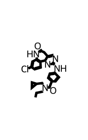 CCCN(CC1CC1)C(=O)c1ccc(Nc2ncc3c(n2)-c2ccc(Cl)cc2NC(=O)C3)cc1